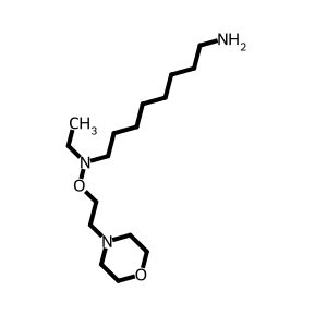 CCN(CCCCCCCCN)OCCN1CCOCC1